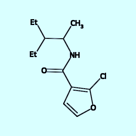 CCC(CC)C(C)NC(=O)c1ccoc1Cl